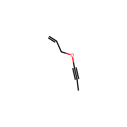 C=CCOC#CC